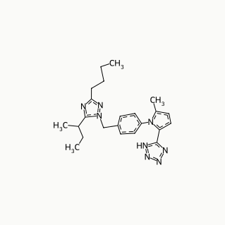 CCCCc1nc(C(C)CC)n(Cc2ccc(-n3c(C)ccc3-c3nnn[nH]3)cc2)n1